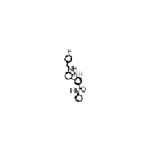 O=C(Nc1ccccc1)c1ccc2[nH]c3c(c2c1)CCCC3NCc1ccc(F)cc1